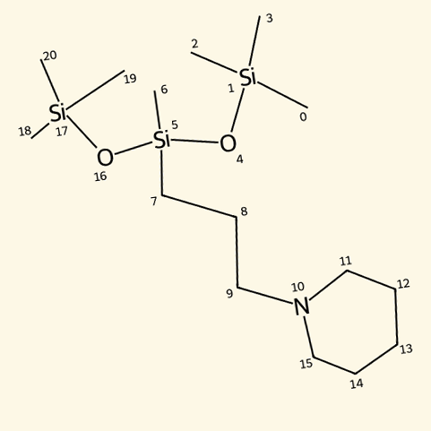 C[Si](C)(C)O[Si](C)(CCCN1CCCCC1)O[Si](C)(C)C